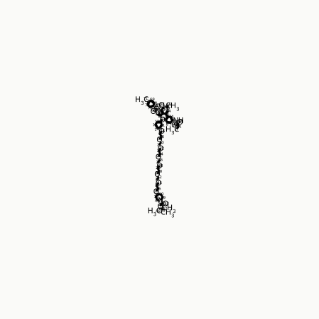 CCS(=O)(=O)Nc1ccc(Oc2cccc(OCCOCCOCCOCCOCCOCCOCCOC3CCN(C(=O)OC(C)(C)C)CC3)c2)c(-c2cn(C)c(=O)c3c2ccn3S(=O)(=O)c2ccc(C)cc2)c1